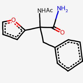 CC(=O)NC(Cc1ccccc1)(C(N)=O)c1ccco1